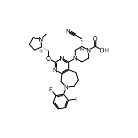 CN1CCC[C@H]1COc1nc2c(c(N3CCN(C(=O)O)[C@@H](CC#N)C3)n1)CCCN(c1c(F)cccc1I)C2